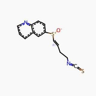 [O-][S+](/C=C/CCN=C=S)c1ccc2ncccc2c1